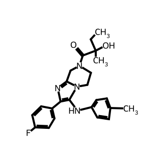 CCC(C)(O)C(=O)N1CCn2c(nc(-c3ccc(F)cc3)c2Nc2ccc(C)cc2)C1